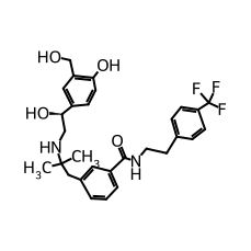 CC(C)(Cc1cccc(C(=O)NCCc2ccc(C(F)(F)F)cc2)c1)NC[C@@H](O)c1ccc(O)c(CO)c1